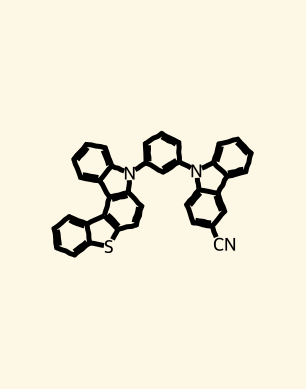 N#Cc1ccc2c(c1)c1ccccc1n2-c1cccc(-n2c3ccccc3c3c4c(ccc32)sc2ccccc24)c1